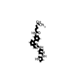 CN(C)CC=CC(=O)Nc1cccc(-c2cccc3cnc(Nc4ccc(NC5CCNC5)nc4)nc23)c1